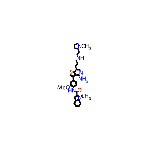 COc1cc(-c2csc3c(/C=C/CNCCC4CCCN4C)cnc(N)c23)ccc1NC(=O)c1cc2ccccc2n1C